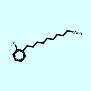 CCCCCCCCCCCCCCCCCCc1ccccc1[Si]